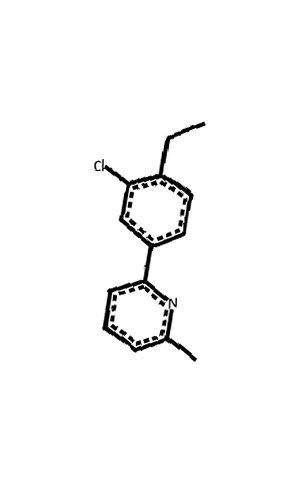 CCc1ccc(-c2cccc(C)n2)cc1Cl